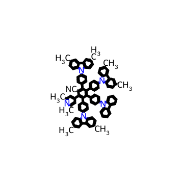 Cc1ccc2c(c1)c1cc(C)ccc1n2-c1ccc(-c2c(C#N)c(-c3cc(C)nc(C)c3)c(-c3ccc(-n4c5ccc(C)cc5c5cc(C)ccc54)cc3)c(-c3ccc(-n4c5ccccc5c5ccccc54)cc3)c2-c2ccc(-n3c4ccc(C)cc4c4cc(C)ccc43)cc2)cc1